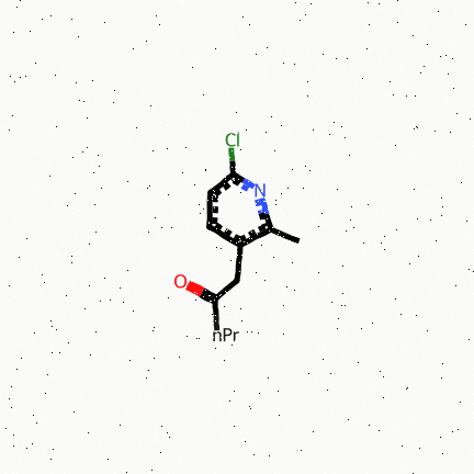 CCCC(=O)Cc1ccc(Cl)nc1C